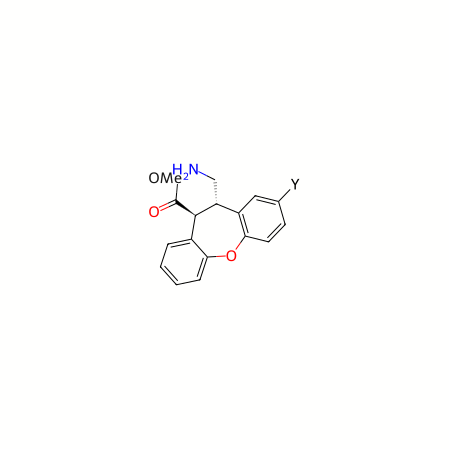 COC(=O)[C@@H]1c2ccccc2Oc2cc[c]([Y])cc2[C@H]1CN